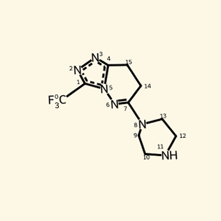 FC(F)(F)c1nnc2n1N=C(N1CCNCC1)CC2